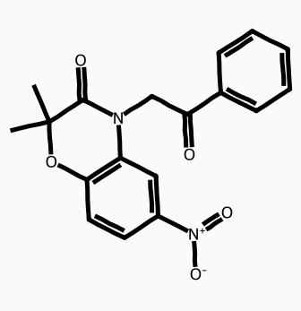 CC1(C)Oc2ccc([N+](=O)[O-])cc2N(CC(=O)c2ccccc2)C1=O